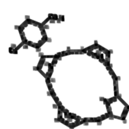 C1=Cc2cc3ccc(cc4nc(cc5ccc(cc1n2)[nH]5)C=C4)[nH]3.O=C(O)c1cc[c]([Cd])cc1